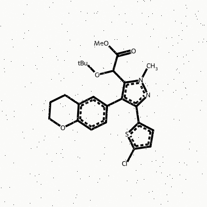 COC(=O)C(OC(C)(C)C)c1c(-c2ccc3c(c2)CCCO3)c(-c2ccc(Cl)s2)nn1C